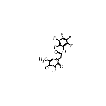 Cc1cn(CC(=O)Oc2c(F)c(F)c(F)c(F)c2F)c(=O)[nH]c1=O